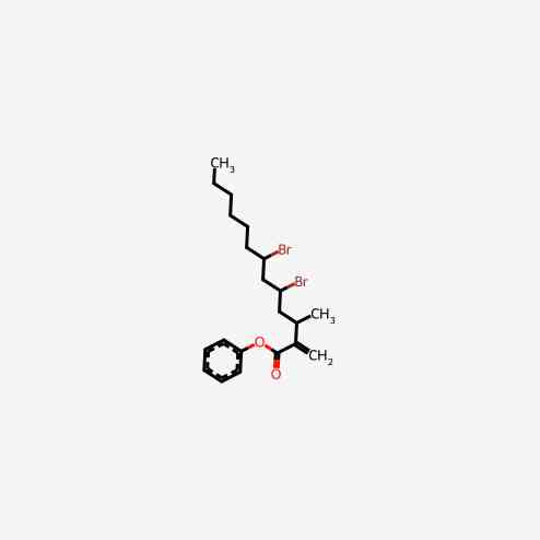 C=C(C(=O)Oc1ccccc1)C(C)CC(Br)CC(Br)CCCCCC